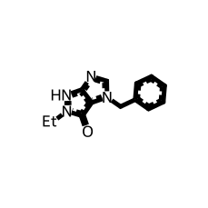 CCn1[nH]c2ncn(Cc3ccccc3)c2c1=O